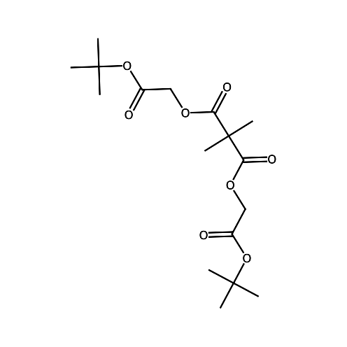 CC(C)(C)OC(=O)COC(=O)C(C)(C)C(=O)OCC(=O)OC(C)(C)C